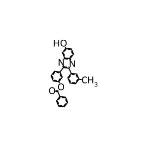 Cc1cccc(-c2nc3ccc(O)cc3nc2-c2cccc(OC(=O)c3ccccc3)c2)c1